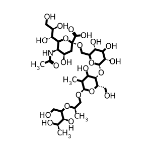 CC(=O)N[C@H]1C([C@H](O)[C@H](O)CO)O[C@@](OCC2O[C@@H](O[C@H]3C(O)C(C)[C@H](OC[C@@H](C)OC(CO)[C@@H](O)[C@@H](C)O)O[C@H]3CO)[C@@H](O)C(O)[C@H]2O)(C(=O)O)C[C@H]1O